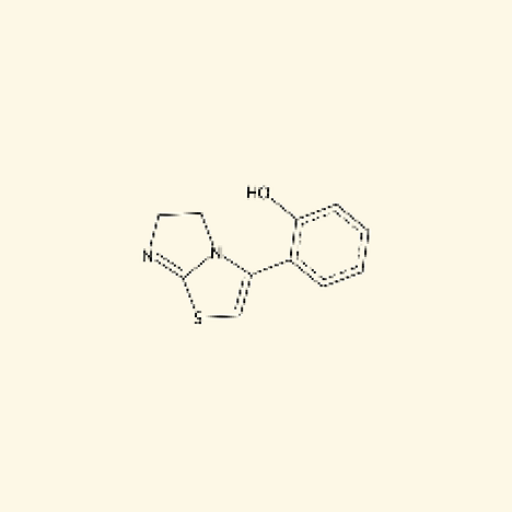 Oc1ccccc1C1=CSC2=NCCN12